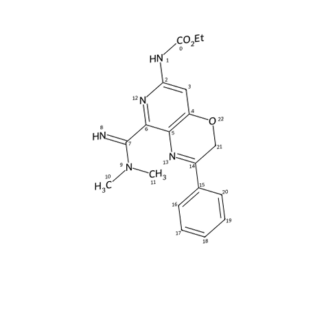 CCOC(=O)Nc1cc2c(c(C(=N)N(C)C)n1)N=C(c1ccccc1)CO2